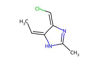 C/C=c1/[nH]c(C)n/c1=C/Cl